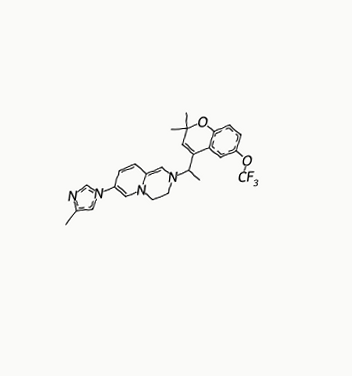 Cc1cn(C2=CN3CCN(C(C)C4=CC(C)(C)Oc5ccc(OC(F)(F)F)cc54)C=C3C=C2)cn1